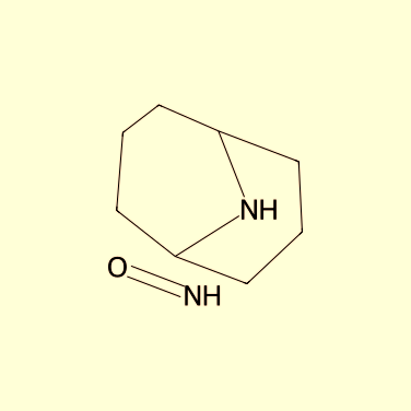 C1CC2CCCC(C1)N2.N=O